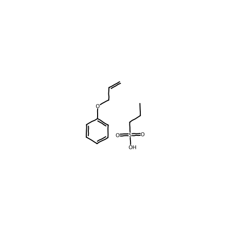 C=CCOc1ccccc1.CCCS(=O)(=O)O